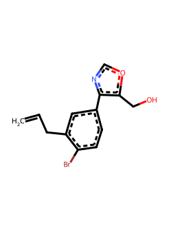 C=CCc1cc(-c2ncoc2CO)ccc1Br